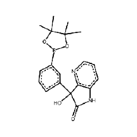 CC1(C)OB(c2cccc(C3(O)C(=O)Nc4cccnc43)c2)OC1(C)C